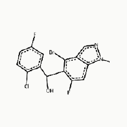 Cn1ncc2c(Br)c(C(O)c3cc(F)ccc3Cl)c(F)cc21